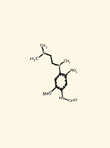 COc1cc(N(C)CCN(C)C)c([N+](=O)[O-])cc1NC=O